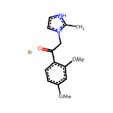 COc1ccc(C(=O)C[n+]2cc[nH]c2C)c(OC)c1.[Br-]